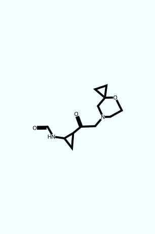 O=CNC1CC1C(=O)CN1CCOC2(CC2)C1